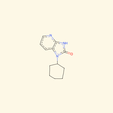 O=c1[nH]c2ncccc2n1C1CCCCC1